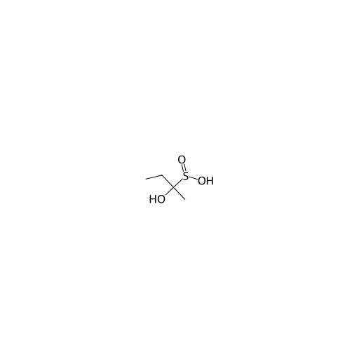 CCC(C)(O)S(=O)O